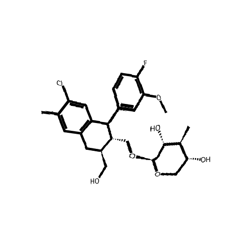 COc1cc(C2c3cc(Cl)c(C)cc3C[C@H](CO)[C@H]2CO[C@@H]2OC[C@@H](O)[C@H](C)[C@H]2O)ccc1F